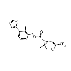 Cc1c(COC(=O)[C@@H]2[C@H](C=C(Cl)C(F)(F)F)C2(C)C)cccc1-c1cccs1